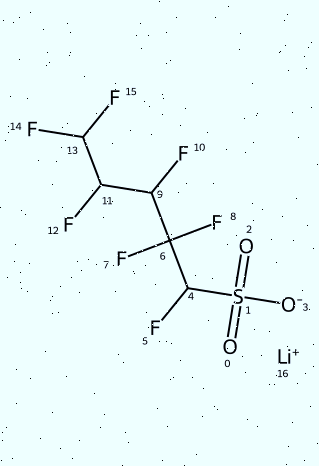 O=S(=O)([O-])C(F)C(F)(F)C(F)C(F)C(F)F.[Li+]